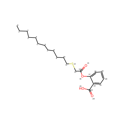 CCCCCCCCCCCCSCC(=O)Oc1ccccc1C(=O)O